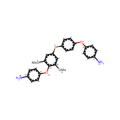 COc1cc(Sc2ccc(Oc3ccc(N)cc3)cc2)cc(OC)c1Oc1ccc(N)cc1